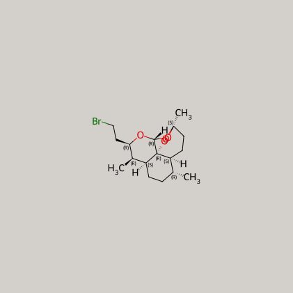 C[C@H]1[C@@H](CCBr)O[C@@H]2O[C@]3(C)CC[C@H]4[C@H](C)CC[C@@H]1[C@@]24OO3